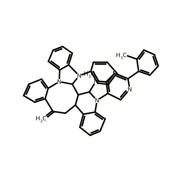 C=C1CC2c3ccccc3N3c4cnc(-c5ccccc5C)nc4N(C)C3C2C2N(c3ccccc3)c3ccccc3N2c2ccccc21